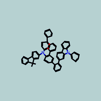 CC1(C)c2ccccc2-c2ccc(N(c3ccc(-c4ccccc4)cc3)c3ccc(-c4ccccc4-c4ccc5c6ccccc6n(-c6ccccc6)c5c4)cc3-c3ccccc3)cc21